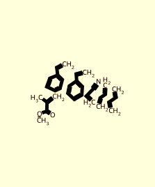 C=C(C)C(=O)OC.C=CC#N.C=CC=C.C=CC=C.C=Cc1ccccc1.C=Cc1ccccc1